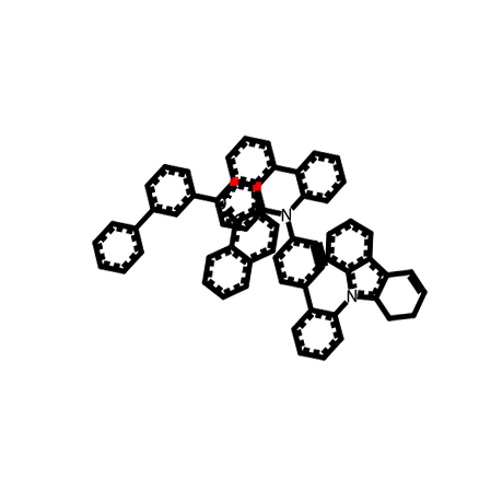 c1c(-c2ccccc2-n2c3c(c4ccccc42)C=CCC3)ccc(N(c2ccc(-c3cccc(-c4ccccc4)c3)cc2)c2ccccc2-c2cccc3oc4c5ccccc5ccc4c23)c#1